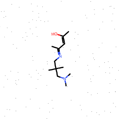 C/C(O)=C/C(C)=N/CC(C)(C)CN(C)C